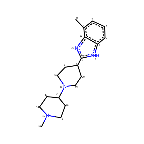 Cc1cccc2[nH]c(C3CCN(C4CCN(C)CC4)CC3)nc12